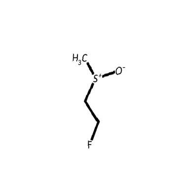 C[S+]([O-])CCF